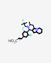 CC1Cc2c(cc3ccccn23)C(c2c(F)cc(/C=C/C(=O)O)cc2F)N1CC(C)(C)F